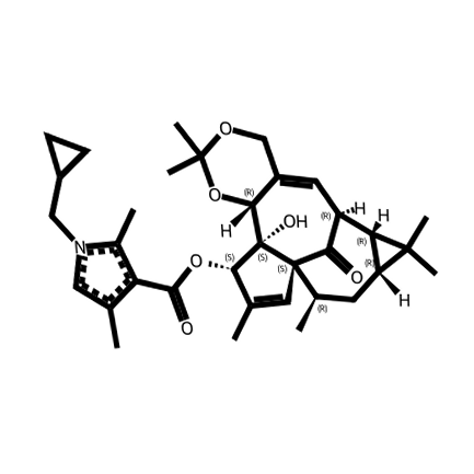 CC1=C[C@]23C(=O)[C@@H](C=C4COC(C)(C)O[C@H]4[C@]2(O)[C@H]1OC(=O)c1c(C)cn(CC2CC2)c1C)[C@H]1[C@@H](C[C@H]3C)C1(C)C